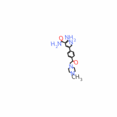 CN1CCN(CC(=O)c2ccc(-c3cnc(N)c(C(N)=O)c3)cc2)CC1